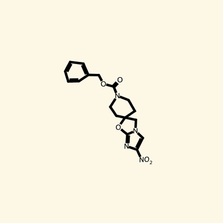 O=C(OCc1ccccc1)N1CCC2(CC1)Cn1cc([N+](=O)[O-])nc1O2